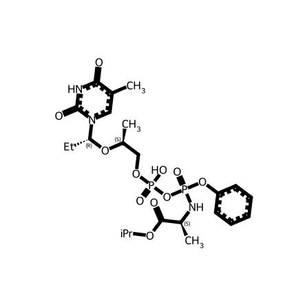 CC[C@@H](O[C@@H](C)COP(=O)(O)OP(=O)(N[C@@H](C)C(=O)OC(C)C)Oc1ccccc1)n1cc(C)c(=O)[nH]c1=O